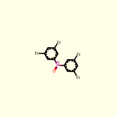 CCc1cc(CC)cc([PH](=O)c2cc(CC)cc(CC)c2)c1